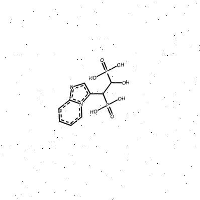 O=P(O)(O)C(O)C(c1cnc2ccccn12)P(=O)(O)O